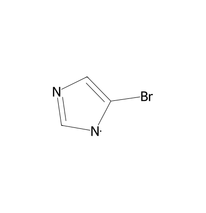 BrC1=CN=C[N]1